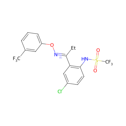 CC/C(=N\Oc1cccc(C(F)(F)F)c1)c1cc(Cl)ccc1NS(=O)(=O)C(F)(F)F